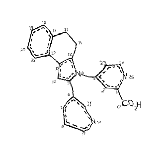 O=C(O)c1cc(-n2c(-c3cccnc3)cc3c2CCc2ccccc2-3)ccn1